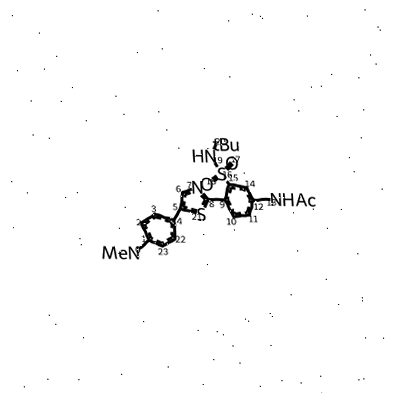 CNc1ccc(-c2cnc(-c3ccc(NC(C)=O)cc3S(=O)(=O)NC(C)(C)C)s2)cc1